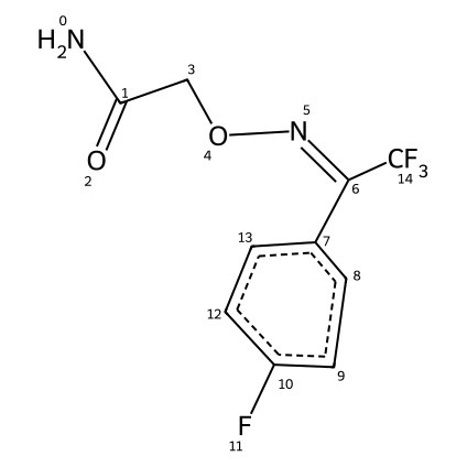 NC(=O)CO/N=C(\c1ccc(F)cc1)C(F)(F)F